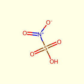 O=[N+]([O-])S(=O)(=O)O